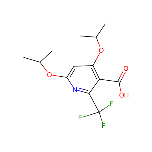 CC(C)Oc1cc(OC(C)C)c(C(=O)O)c(C(F)(F)F)n1